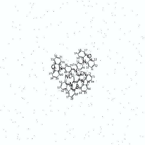 N#Cc1c(N(c2ccc(N3c4ccccc4Oc4ccccc43)cc2)c2ccc(N3c4ccccc4Oc4ccccc43)cc2)c(C#N)c2c3c1-n1c4ccccc4c4cccc(c41)B3c1cccc3c4ccccc4n-2c13